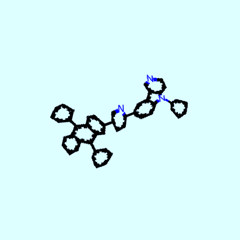 c1ccc(-c2c3ccccc3c(-c3ccccc3)c3cc(-c4ccc(-c5ccc6c(c5)c5cnccc5n6-c5ccccc5)nc4)ccc23)cc1